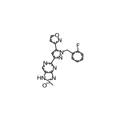 CS1(=O)=Nc2nc(-c3cc(-c4ccon4)n(Cc4ccccc4F)n3)ncc2N1